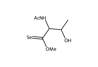 COC(=[Se])C(NC(C)=O)C(C)O